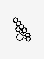 c1ccc(C2CCCCCC(c3ccccc3)(c3cccc4cc5cc6ccccc6cc5cc34)C2(c2ccccc2)c2ccccc2)cc1